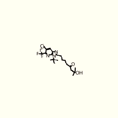 CC(C)(O)CC(=O)CCCCc1nc2cc(Cl)c(C(F)(F)F)nc2n1C(C)(C)C